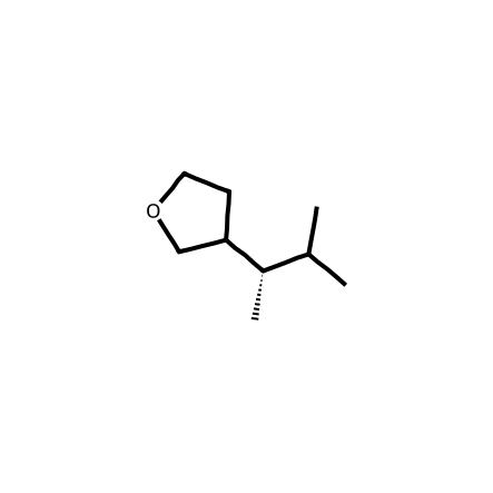 CC(C)[C@H](C)C1CCOC1